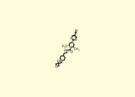 C[C@@H]1CN(c2ncc(C#N)cn2)C[C@H](C)N1C(=O)NCCC1CCN(CC2(C)COC2)CC1